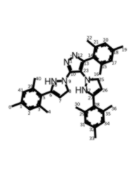 Cc1cc(C)c(C2=CCN(C3=N[N]C(c4c(C)cc(C)cc4C)=C3N3CC=C(c4c(C)cc(C)cc4C)N3)N2)c(C)c1